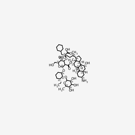 CCC[C@@H](C)[C@H]1CC[C@H]2[C@@H]3[C@H](O)C[C@@H]4C[C@@H](N)CC[C@]4(C)[C@H]3C[C@H](OC(=O)C3C(O[C@@H](CC4CCCCC4)C(=O)O)[C@@H](O)[C@H](CO)O[C@H]3O[C@@H]3CCC[C@@H](CC)[C@H]3OC3O[C@@H](C)[C@H](O)C(O)[C@@H]3O)[C@]12C